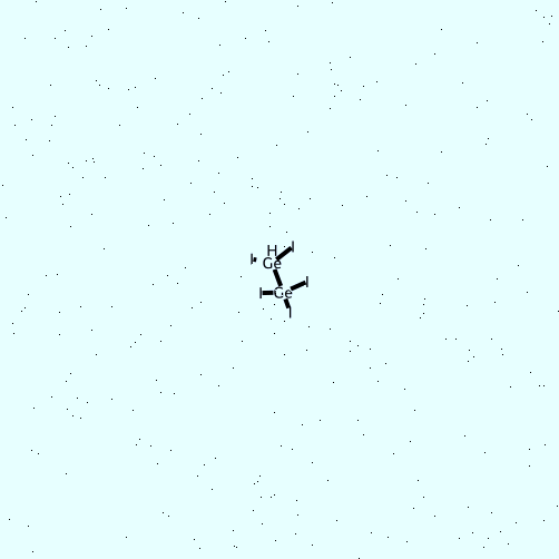 [I][GeH]([I])[Ge]([I])([I])[I]